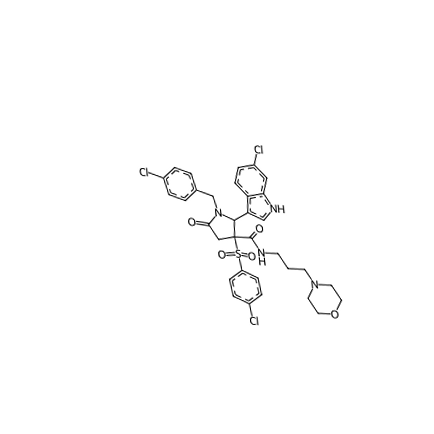 O=C1CC(C(=O)NCCCN2CCOCC2)(S(=O)(=O)c2ccc(Cl)cc2)C(c2c[nH]c3cc(Cl)ccc23)N1Cc1ccc(Cl)cc1